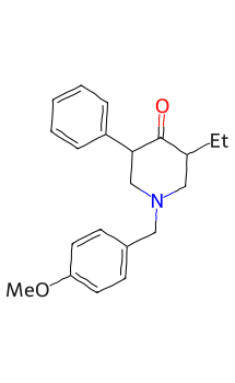 CCC1CN(Cc2ccc(OC)cc2)CC(c2ccccc2)C1=O